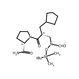 CC(C)(C)[Si](C)(C)ON(C=O)C[C@@H](CC1CCCC1)C(=O)N1CCC[C@H]1C(N)=O